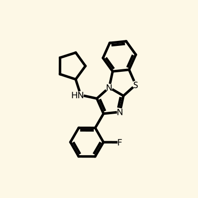 Fc1ccccc1-c1nc2sc3ccccc3n2c1NC1CCCC1